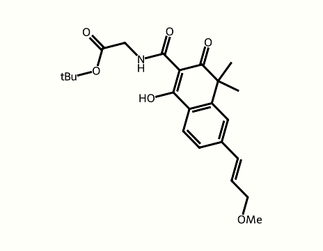 COCC=Cc1ccc2c(c1)C(C)(C)C(=O)C(C(=O)NCC(=O)OC(C)(C)C)=C2O